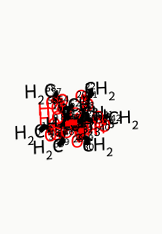 C=CC(=O)OCC(C)C(O)(CO)C(OC(C(C)COC(=O)C=C)(C(C)COC(=O)C=C)C(O)(CO)C(C)COC(=O)C=C)(C(C)COC(=O)C=C)C(C)COC(=O)C=C